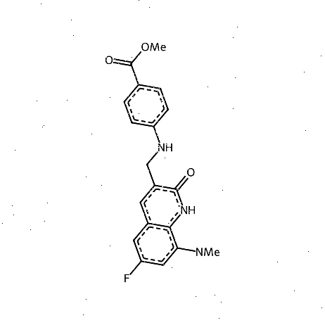 CNc1cc(F)cc2cc(CNc3ccc(C(=O)OC)cc3)c(=O)[nH]c12